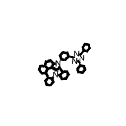 c1ccc(-c2nc(-c3ccccc3)nc(-c3cccc(-n4c5ccc6cccc7c8ccccc8n8c9ccccc9c4c8c5c67)c3)n2)cc1